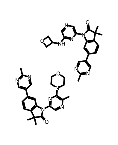 Cc1ncc(-c2ccc3c(c2)N(c2cnc(C)c(N4CCOCC4)n2)C(=O)C3(C)C)cn1.Cc1ncc(-c2ccc3c(c2)N(c2cncc(NC4COC4)n2)C(=O)C3(C)C)cn1